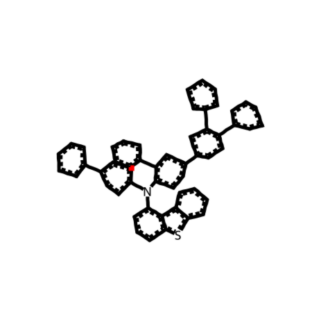 c1ccc(-c2ccc(N(c3ccc(-c4ccc(-c5ccccc5)c(-c5ccccc5)c4)cc3-c3ccccc3)c3cccc4sc5ccccc5c34)cc2)cc1